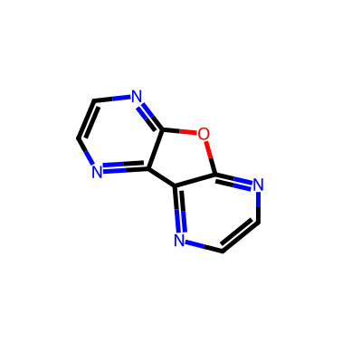 c1cnc2c(n1)oc1nccnc12